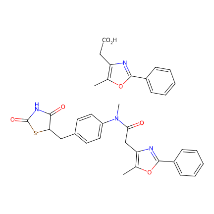 Cc1oc(-c2ccccc2)nc1CC(=O)N(C)c1ccc(CC2SC(=O)NC2=O)cc1.Cc1oc(-c2ccccc2)nc1CC(=O)O